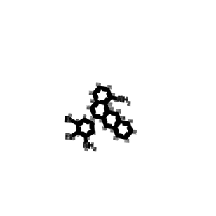 CCc1cccc(N)c1CC.[AlH2][c]1cccc2ccc3cc4ccccc4cc3c12